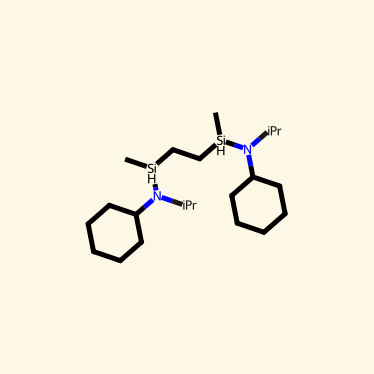 CC(C)N(C1CCCCC1)[SiH](C)CC[SiH](C)N(C(C)C)C1CCCCC1